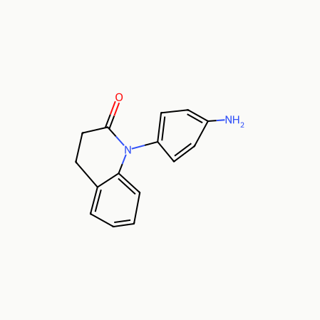 Nc1ccc(N2C(=O)CCc3ccccc32)cc1